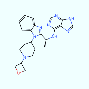 C[C@H](Nc1ncnc2[nH]cnc12)c1nc2ccccc2n1C1CCN(C2COC2)CC1